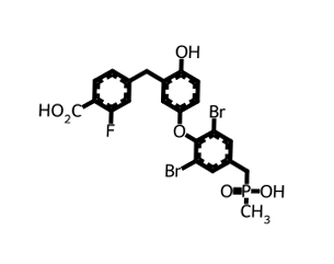 CP(=O)(O)Cc1cc(Br)c(Oc2ccc(O)c(Cc3ccc(C(=O)O)c(F)c3)c2)c(Br)c1